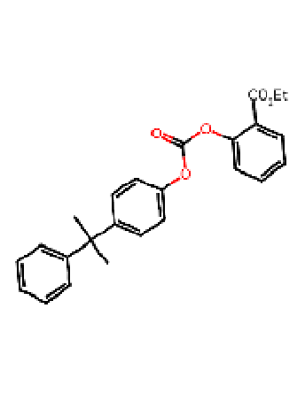 CCOC(=O)c1ccccc1OC(=O)Oc1ccc(C(C)(C)c2ccccc2)cc1